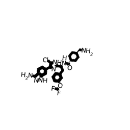 NC[C@H]1CC[C@H](C(=O)NC(Cc2cccc(OC(F)F)c2)c2nc(-c3ccc4c(N)n[nH]c4c3)c(Cl)[nH]2)CC1